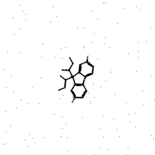 CCC(C)C1(C(C)CC)c2cc(Br)ccc2-c2ccc(Br)cc21